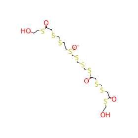 O=C(CSCSCC[S+]([O-])CSCSCSC(=O)CSCSCC(=O)SCCO)SCCO